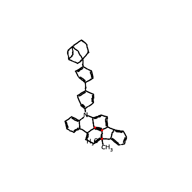 CC1(C)c2ccccc2-c2ccc(N(c3ccc(-c4ccc(C56CCCC7(CC(C7)C5)C6)cc4)cc3)c3ccccc3-c3ccccc3)cc21